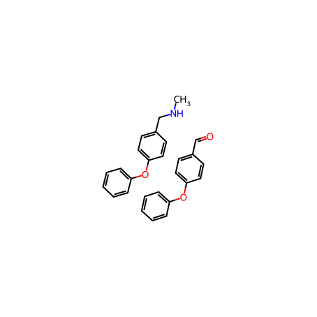 CNCc1ccc(Oc2ccccc2)cc1.O=Cc1ccc(Oc2ccccc2)cc1